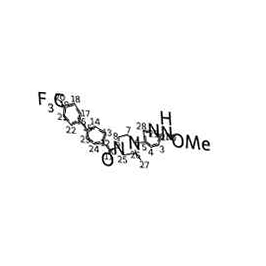 CONc1ccc(N2CCN(C(=O)c3ccc(-c4ccc(C(F)(F)F)cc4)cc3)CC2C)cn1